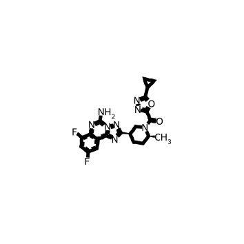 C[C@H]1CC[C@@H](c2nc3c4cc(F)cc(F)c4nc(N)n3n2)CN1C(=O)c1nnc(C2CC2)o1